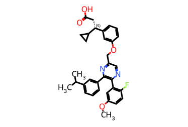 COc1ccc(F)c(-c2ncc(COc3cccc([C@@H](CC(=O)O)C4CC4)c3)nc2-c2cccc(C(C)C)c2)c1